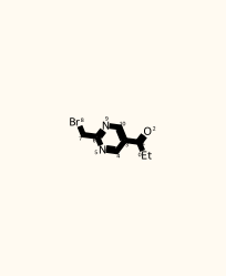 CCC(=O)c1cnc(CBr)nc1